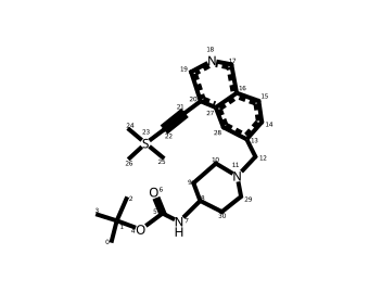 CC(C)(C)OC(=O)NC1CCN(Cc2ccc3cncc(C#CS(C)(C)C)c3c2)CC1